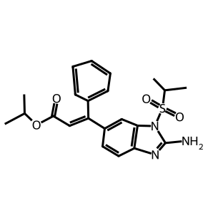 CC(C)OC(=O)/C=C(\c1ccccc1)c1ccc2nc(N)n(S(=O)(=O)C(C)C)c2c1